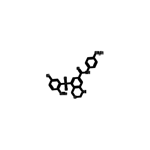 CCOC(=O)c1ccc(NC(=O)c2cc3c(c(S(=O)(=O)c4cc(Cl)ccc4OC)c2)COCN3)cc1